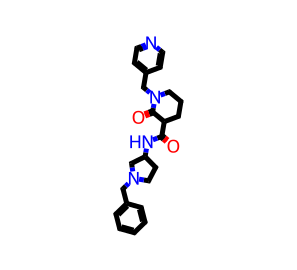 O=C(NC1CCN(Cc2ccccc2)C1)C1CCCN(Cc2ccncc2)C1=O